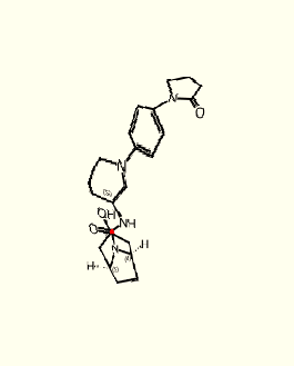 O=C1CCCN1c1ccc(N2CCC[C@H](NC(=O)N3[C@@H]4CC[C@H]3C[C@@H](O)C4)C2)cc1